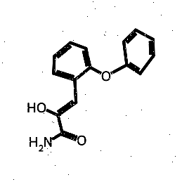 NC(=O)C(O)=Cc1ccccc1Oc1ccccc1